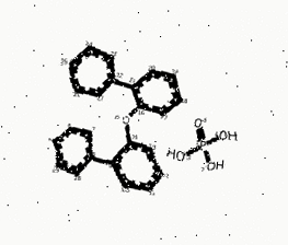 O=P(O)(O)O.c1ccc(-c2ccccc2Oc2ccccc2-c2ccccc2)cc1